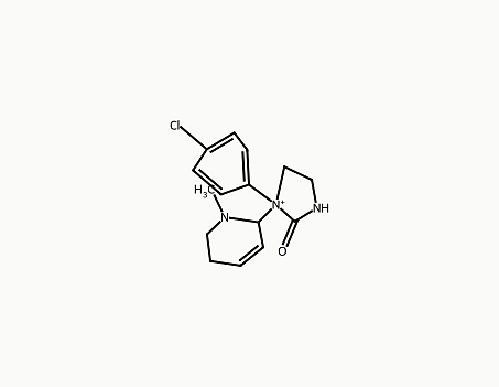 CN1CCC=CC1[N+]1(c2ccc(Cl)cc2)CCNC1=O